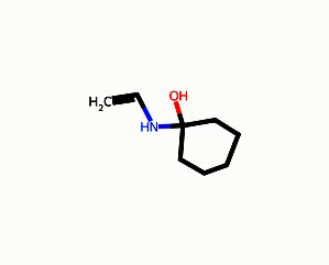 C=CNC1(O)CCCCC1